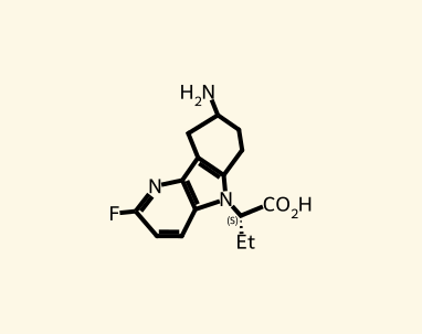 CC[C@@H](C(=O)O)n1c2c(c3nc(F)ccc31)CC(N)CC2